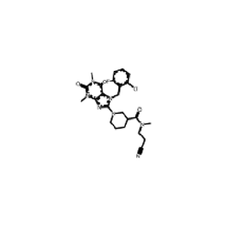 CN(CCC#N)C(=O)C1CCCN(c2nc3c(c(=O)n(C)c(=O)n3C)n2Cc2c(F)cccc2Cl)C1